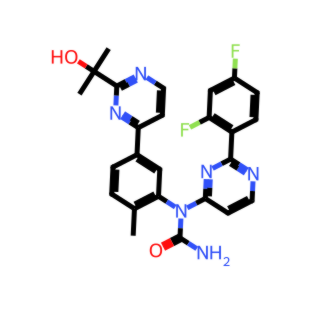 Cc1ccc(-c2ccnc(C(C)(C)O)n2)cc1N(C(N)=O)c1ccnc(-c2ccc(F)cc2F)n1